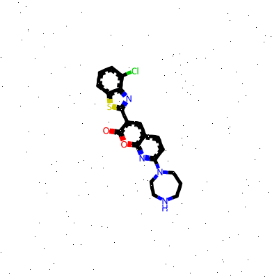 O=c1oc2nc(N3CCCNCC3)ccc2cc1-c1nc2c(Cl)cccc2s1